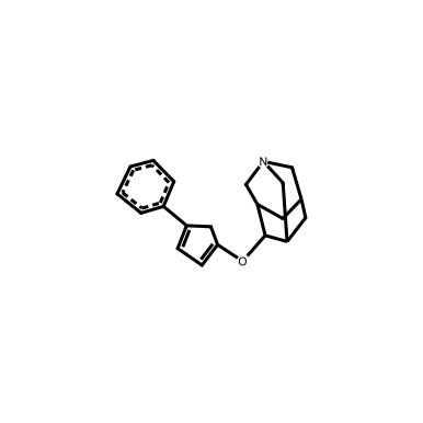 C1=C(OC2C3CC4CC2CN(C4)C3)CC(c2ccccc2)=C1